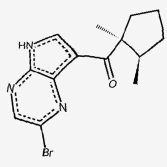 C[C@@H]1CCC[C@]1(C)C(=O)c1c[nH]c2ncc(Br)nc12